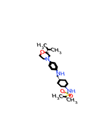 CC(C)[C@@H]1CN(c2ccc(NC[C@H]3CC[C@H](NS(=O)(=O)C(C)C)CC3)cc2)CCO1